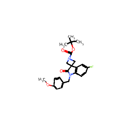 COc1ccc(CN2C(=O)C3(CN(C(=O)OC(C)(C)C)C3)c3cc(F)ccc32)cc1